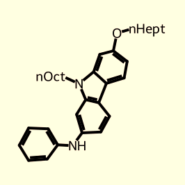 CCCCCCCCn1c2cc(Nc3ccccc3)ccc2c2ccc(OCCCCCCC)cc21